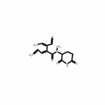 C=C/C=C(C(=O)N(C)C1CCC(=O)NC1=O)\C(C=O)=C/C